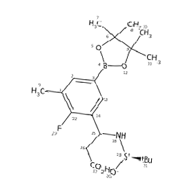 Cc1cc(B2OC(C)(C)C(C)(C)O2)cc(C(CC(=O)O)N[S@+]([O-])C(C)(C)C)c1F